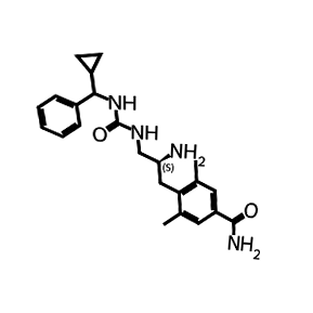 Cc1cc(C(N)=O)cc(C)c1C[C@H](N)CNC(=O)NC(c1ccccc1)C1CC1